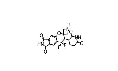 O=C1CCC(C2C3(CNC3)Oc3cc4c(cc3C2(F)F)C(=O)NC4=O)C(=O)N1